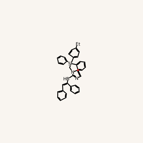 CCc1ccc([Si](Cn2ccnc2BC(=Cc2ccccc2)c2ccccc2)(c2ccccc2)c2ccccc2)cc1